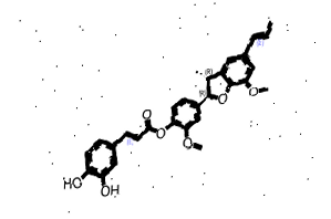 C/C=C/c1cc(OC)c2c(c1)[C@@H](C)[C@H](c1ccc(OC(=O)/C=C/c3ccc(O)c(O)c3)c(OC)c1)O2